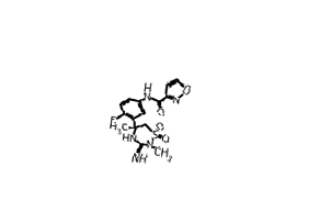 CN1C(=N)N[C@](C)(c2cc(NC(=O)c3ccon3)ccc2F)CS1(=O)=O